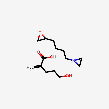 C(CCN1CC1)CC1CO1.C=C(CCCO)C(=O)O